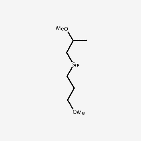 COCC[CH2][Sn][CH2]C(C)OC